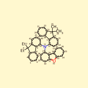 CCC1(CC)c2ccccc2-c2c(N(c3cccc4c3-c3ccccc3C4(C)C)c3cccc4oc5ccccc5c34)cccc21